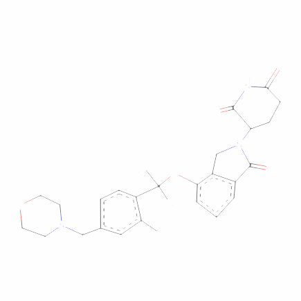 Bc1cc(CN2CCOCC2)ccc1C(B)(B)Oc1cccc2c1CN(C1CCC(=O)NC1=O)C2=O